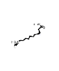 C1CO1.CCCCCC[C@@H](O)C/C=C\CCCCCCCC(=O)O